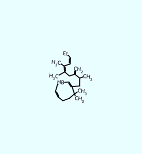 C=C(C/C(C)=C(C)\C=C/CC)C(C)C/C1=C/BC/C=C\CCC1(C)C